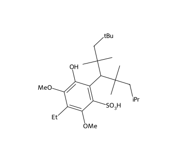 CCc1c(OC)c(O)c(C(C(C)(C)CC(C)C)C(C)(C)CC(C)(C)C)c(S(=O)(=O)O)c1OC